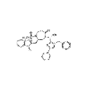 CC(C)(C)[C@H](c1nc(-c2ccccc2)cn1Cc1ccccc1)N1C[C@@H](CN2C(=O)c3ccccc3C2=O)N(S(C)(=O)=O)CCC1=O